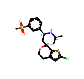 C[C@H]1C[C@@]2(C[C@@H](c3cccc(S(C)(=O)=O)c3)N1)OCCc1cc(Cl)sc12